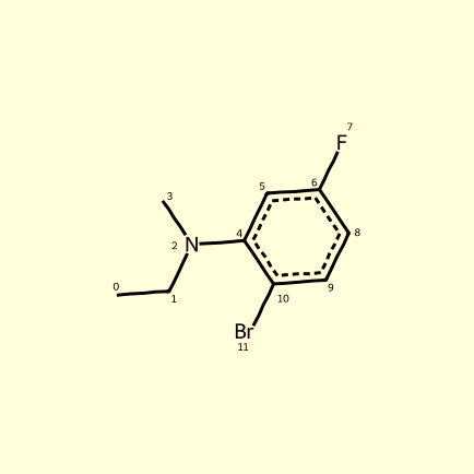 CCN(C)c1cc(F)ccc1Br